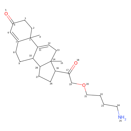 CC12CCC(=O)C=C1CCC1C2=CCC2(C)C(C(=O)COCCCCN)CCC12